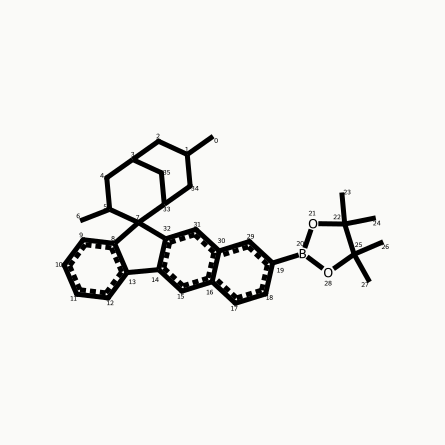 CC1CC2CC(C)C3(c4ccccc4-c4cc5ccc(B6OC(C)(C)C(C)(C)O6)cc5cc43)C(C1)C2